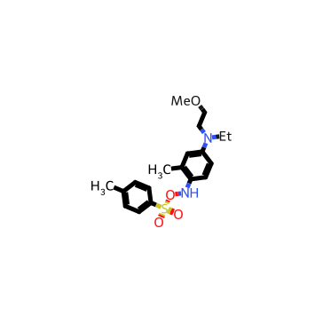 CCN(CCOC)c1ccc(NOS(=O)(=O)c2ccc(C)cc2)c(C)c1